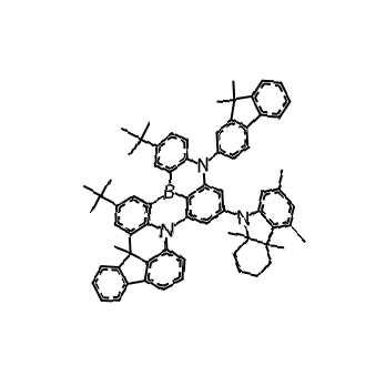 Cc1cc(C)c2c(c1)N(c1cc3c4c(c1)N1c5cccc6c5C(C)(c5ccccc5-6)c5cc(C(C)(C)C)cc(c51)B4c1cc(C(C)(C)C)ccc1N3c1ccc3c(c1)C(C)(C)c1ccccc1-3)C1(C)CCCCC21C